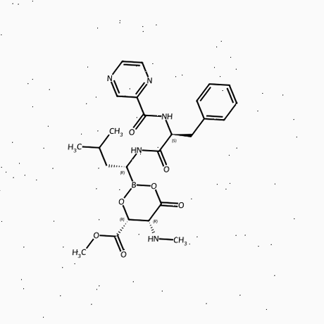 CN[C@H]1C(=O)OB([C@H](CC(C)C)NC(=O)[C@H](Cc2ccccc2)NC(=O)c2cnccn2)O[C@H]1C(=O)OC